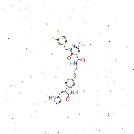 O=C1Nc2cc(/C=C/CNC(=O)c3cc(Cl)nn(Cc4ccc(F)c(F)c4)c3=O)ccc2/C1=C/c1ccc[nH]1